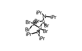 CC(C)N(C(C)C)[Si](Br)(Br)[Si](Br)(N(C(C)C)C(C)C)[Si](Br)(Br)Br